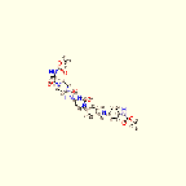 CC(C)(C)OC(=O)NC(C)(C)C(=O)N1CCN(C(=O)Nc2ccn(-c3ccc4c(c3)CN([C@H]3CC[C@H](NC(=O)OC(C)(C)C)CC3)C4)c(=O)n2)CC1